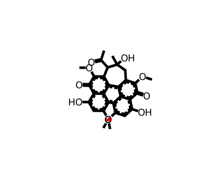 COc1c2c3c4c(c(OC)c(=O)c5c(O)cc(OC)c(c6c(OC)cc(O)c(c1=O)c63)c54)C(C(C)=O)C(C)(O)C2